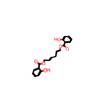 O=C(OCCCCCCOC(=O)c1ccccc1O)c1ccccc1O